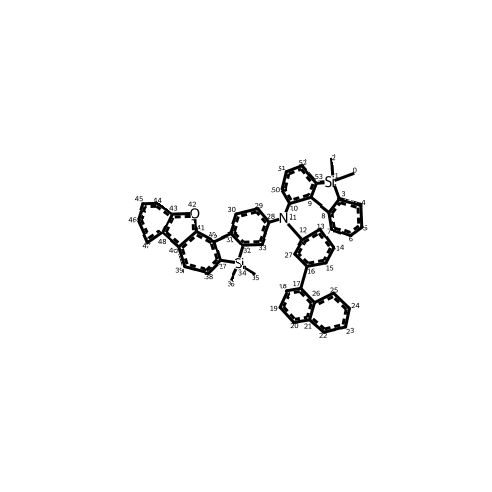 C[Si]1(C)c2ccccc2-c2c(N(c3cccc(-c4cccc5ccccc45)c3)c3ccc4c(c3)[Si](C)(C)c3ccc5c(oc6ccccc65)c3-4)cccc21